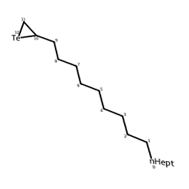 CCCCCCCCCCCCCCCCC1C[Te]1